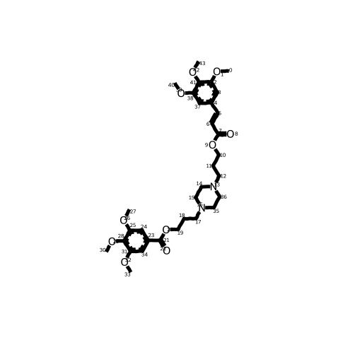 COc1cc(C=CC(=O)OCCCN2CCN(CCCOC(=O)c3cc(OC)c(OC)c(OC)c3)CC2)cc(OC)c1OC